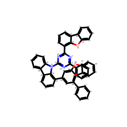 c1ccc(-c2nc(-c3cccc4c3oc3ccccc34)nc(-n3c4ccccc4c4cccc(-c5cc(-c6ccccc6)c6c(c5)oc5ccccc56)c43)n2)cc1